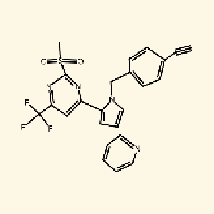 C#Cc1ccc(Cn2cccc2-c2cc(C(F)(F)F)nc(S(C)(=O)=O)n2)cc1.c1ccncc1